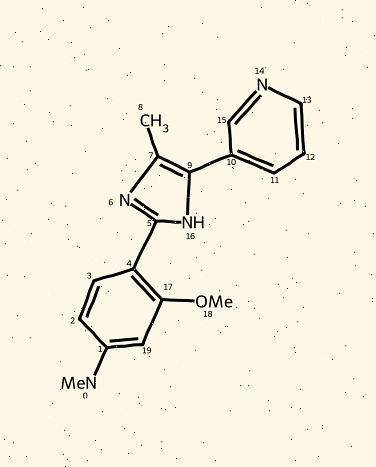 CNc1ccc(-c2nc(C)c(-c3cccnc3)[nH]2)c(OC)c1